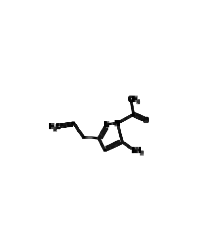 C=CCc1cc(N)n(C(C)=O)n1